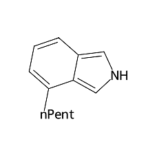 [CH2]CCCCc1cccc2c[nH]cc12